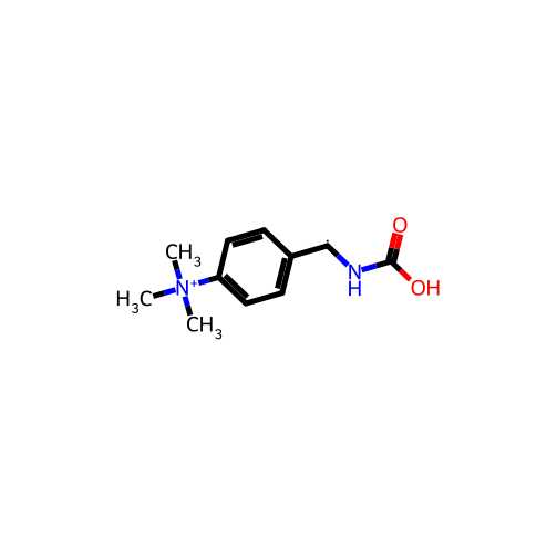 C[N+](C)(C)c1ccc([CH]NC(=O)O)cc1